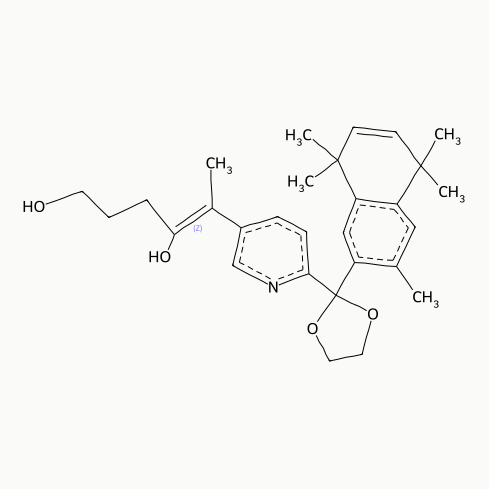 C/C(=C(/O)CCCO)c1ccc(C2(c3cc4c(cc3C)C(C)(C)C=CC4(C)C)OCCO2)nc1